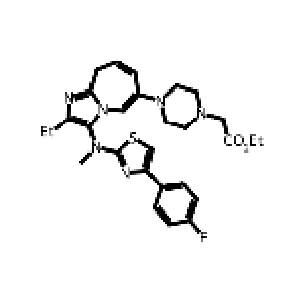 CCOC(=O)CN1CCN(C2=Cn3c(nc(CC)c3N(C)c3nc(-c4ccc(F)cc4)cs3)CC=C2)CC1